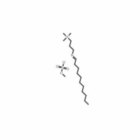 CCCCCCCCCCC=NCCC[N+](C)(C)C.COS(=O)(=O)[O-]